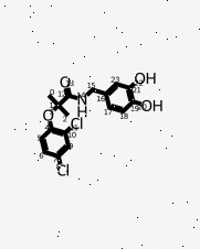 CC(C)(Oc1ccc(Cl)cc1Cl)C(=O)NCc1ccc(O)c(O)c1